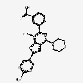 Cc1c(-c2cccc(C(=O)O)c2)nc(N2CCOCC2)c2cc(-c3cnc(N)nc3)sc12